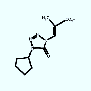 C/C(=C\n1nnn(C2CCCC2)c1=O)C(=O)O